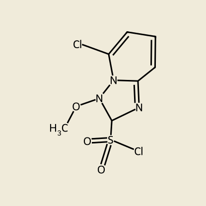 CON1C(S(=O)(=O)Cl)N=C2C=CC=C(Cl)N21